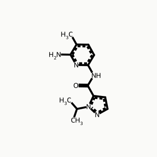 Cc1ccc(NC(=O)c2ccnn2C(C)C)nc1N